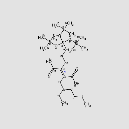 CCCCC(CC)C/C(C(=O)O)=C(/CCC[Si](O[Si](C)(C)C)(O[Si](C)(C)C)O[Si](C)(C)C)C(=O)O